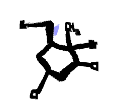 CC1(Br)C(Cl)=CC(Cl)=C/C1=C\Br